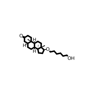 C[C@]12CCC(=O)C[C@@H]1CC[C@@H]1[C@@H]2CC[C@]2(C)[C@@H](OCCCCCCO)CC[C@@]12C